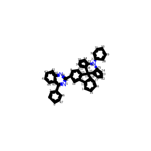 c1ccc(-c2nc(-c3ccc4c(c3)-c3ccccc3C43c4ccccc4N(c4ccccc4)c4ccccc43)nc3ccccc23)cc1